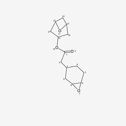 O=C(CC1CCC2OC2C1)OC1CC2CC(C1)O2